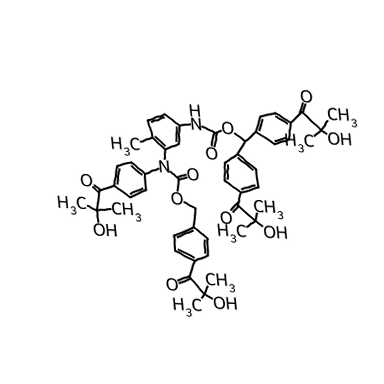 Cc1ccc(NC(=O)OC(c2ccc(C(=O)C(C)(C)O)cc2)c2ccc(C(=O)C(C)(C)O)cc2)cc1N(C(=O)OCc1ccc(C(=O)C(C)(C)O)cc1)c1ccc(C(=O)C(C)(C)O)cc1